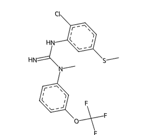 CSc1ccc(Cl)c(NC(=N)N(C)c2cccc(OC(F)(F)F)c2)c1